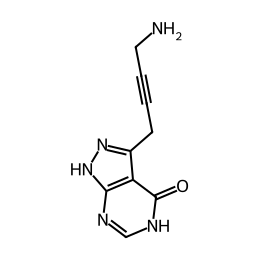 NCC#CCc1n[nH]c2nc[nH]c(=O)c12